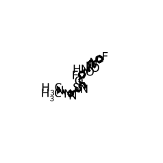 CN(C)CCN1C=NC(c2cc3nccc(Oc4ccc(NC(=O)N5CCN(c6ccc(F)cc6)C5=O)cc4F)c3s2)C1